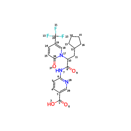 O=C(O)c1ccc(NC(=O)C(CC2CCCC2)n2cc(C(F)(F)F)ccc2=O)nc1